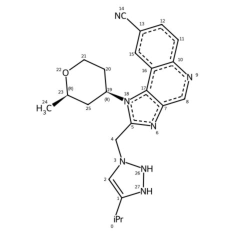 CC(C)C1=CN(Cc2nc3cnc4ccc(C#N)cc4c3n2[C@@H]2CCO[C@H](C)C2)NN1